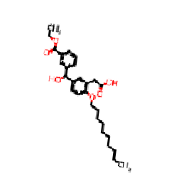 CCCCCCCCCCOc1ccc(C(O)c2cccc(C(=O)OCC)c2)cc1CC(=O)O